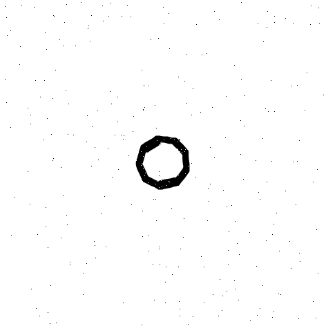 [CH]1C=CCCC=CCC1